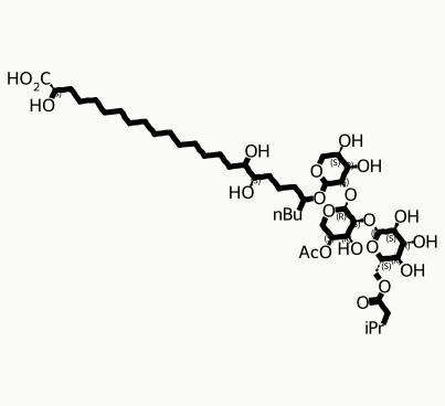 CCCCC(CCC[C@H](O)C(O)CCCCCCCCCCCCCC[C@H](O)C(=O)O)OC1OC[C@H](O)[C@@H](O)[C@@H]1O[C@H]1OC[C@H](OC(C)=O)[C@@H](O)[C@@H]1O[C@H]1O[C@@H](COC(=O)CC(C)C)[C@H](O)[C@@H](O)[C@@H]1O